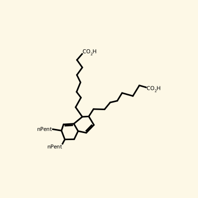 CCCCCC1C=C2C(C=CC(CCCCCCCC(=O)O)C2CCCCCCCC(=O)O)CC1CCCCC